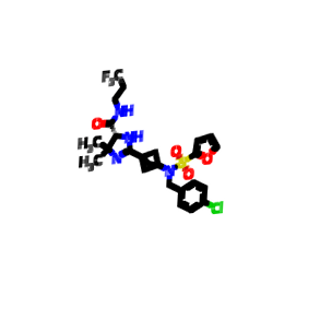 CC1(C)N=C(C23CC(N(Cc4ccc(Cl)cc4)S(=O)(=O)c4ccco4)(C2)C3)N[C@H]1C(=O)NCCC(F)(F)F